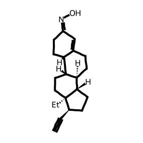 C#C[C@@H]1CC[C@H]2[C@@H]3CCC4=CC(=NO)CC[C@@H]4[C@H]3CC[C@]12CC